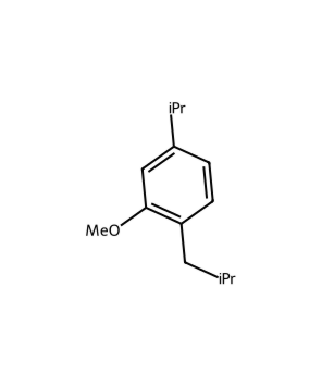 COc1cc(C(C)C)ccc1CC(C)C